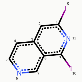 Ic1cc2ccncc2c(I)n1